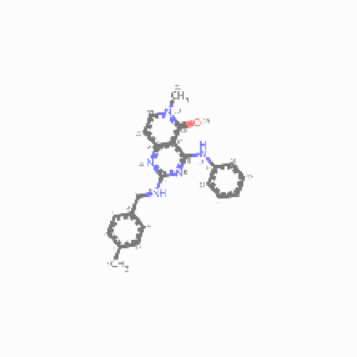 Cc1ccc(CNc2nc(Nc3ccccc3)c3c(=O)n(C)ccc3n2)cc1